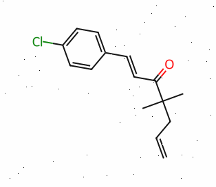 C=CCC(C)(C)C(=O)/C=C/c1ccc(Cl)cc1